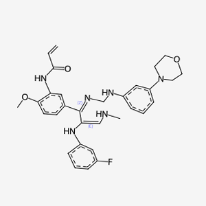 C=CC(=O)Nc1cc(C(=N/CNc2cccc(N3CCOCC3)c2)/C(=C\NC)Nc2cccc(F)c2)ccc1OC